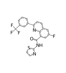 O=C(Nc1nccs1)c1cc(F)cc2ccc(-c3cccc(C(F)(F)F)c3)nc12